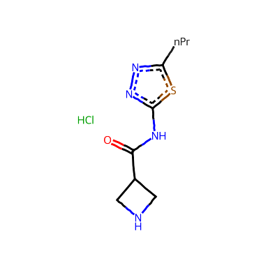 CCCc1nnc(NC(=O)C2CNC2)s1.Cl